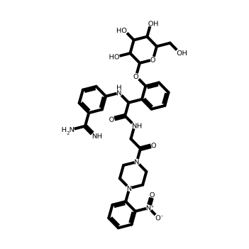 N=C(N)c1cccc(NC(C(=O)NCC(=O)N2CCN(c3ccccc3[N+](=O)[O-])CC2)c2ccccc2OC2OC(CO)C(O)C(O)C2O)c1